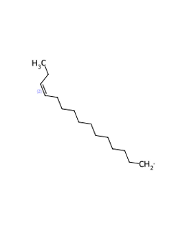 [CH2]CCCCCCCCCC/C=C\CC